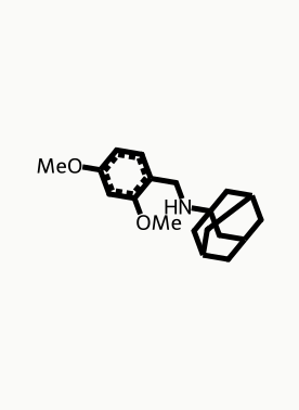 COc1ccc(CNC23CC4CC(CC(C4)C2)C3)c(OC)c1